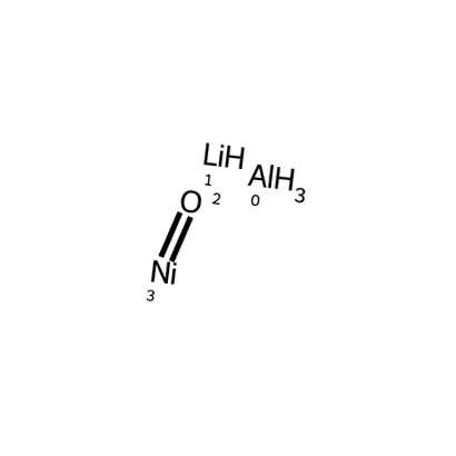 [AlH3].[LiH].[O]=[Ni]